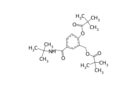 CC(C)(C)NCC(=O)c1ccc(OC(=O)C(C)(C)C)c(COC(=O)C(C)(C)C)c1